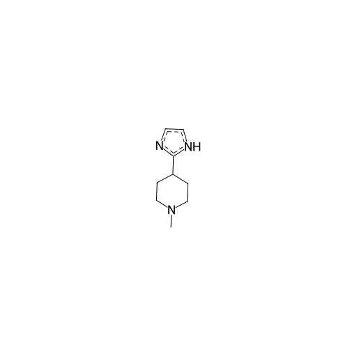 CN1CCC(c2ncc[nH]2)CC1